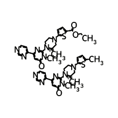 CCOC(=O)c1ccc(N2CCN(c3nc(-c4ccncn4)cc(=O)n3C)[C@H](C)C2)s1.Cc1ccc(N2CCN(c3nc(-c4ccncn4)cc(=O)n3C)[C@H](C)C2)s1